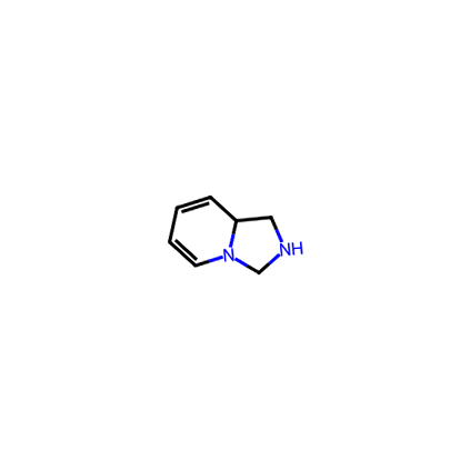 C1=CC2CNCN2C=C1